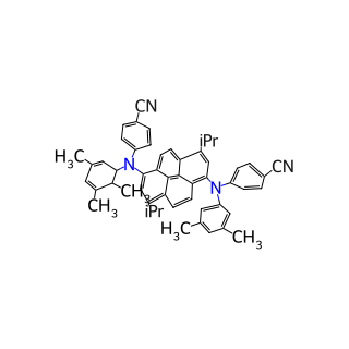 CC1=CC(N(c2ccc(C#N)cc2)c2cc(C(C)C)c3ccc4c(N(c5ccc(C#N)cc5)c5cc(C)cc(C)c5)cc(C(C)C)c5ccc2c3c54)C(C)C(C)=C1